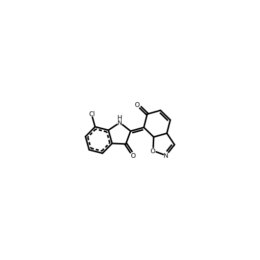 O=C1C=CC2C=NOC2/C1=C1/Nc2c(Cl)cccc2C1=O